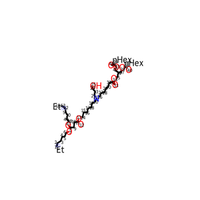 CC/C=C\CCCCOC(CCC(=O)OCCCCCCCN(CCCO)CCCCCCC(=O)OCC(COC(=O)CCCCCC)COC(=O)CCCCCC)OCCCC/C=C\CC